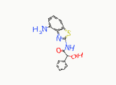 Nc1cccc2sc(NC(=O)C(O)c3ccccc3)nc12